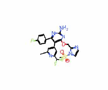 Cc1cc(-c2c(OCc3nccn3S(C)(=O)=O)nc(N)nc2-c2ccc(F)cc2)cc(C(F)F)n1